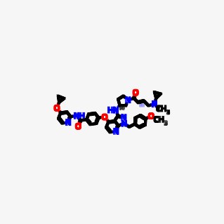 COc1ccc(Cn2nc(N[C@@H]3CCN(C(=O)/C=C/CN(C)C4CC4)C3)c3c(Oc4ccc(C(=O)Nc5cc(OC6CC6)ccn5)cc4)ccnc32)cc1